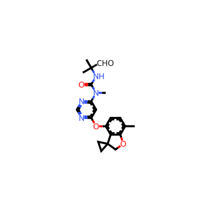 Cc1ccc(Oc2cc(N(C)C(=O)NC(C)(C)C=O)ncn2)c2c1OCC21CC1